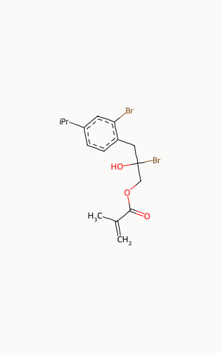 C=C(C)C(=O)OCC(O)(Br)Cc1ccc(C(C)C)cc1Br